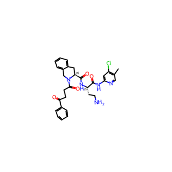 Cc1cnc(NC(=O)[C@H](CCN)NC(=O)[C@@H]2Cc3ccccc3CN2C(=O)CCC(=O)c2ccccc2)cc1Cl